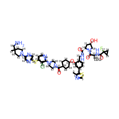 Cc1ncsc1-c1ccc(CNC(=O)[C@@H]2C[C@@H](O)CN2C(=O)[C@@H](NC(=O)C2(F)CC2)C(C)(C)C)c(OC2CCC(C(=O)N3CCN(c4nccc(Sc5cnc(N6CCC(C)(CN)CC6)cn5)c4Cl)CC3)CC2)c1